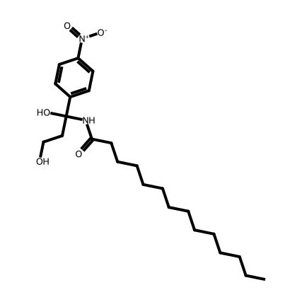 CCCCCCCCCCCCCC(=O)NC(O)(CCO)c1ccc([N+](=O)[O-])cc1